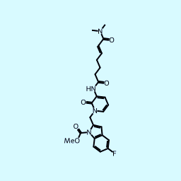 COC(=O)n1c(Cn2cccc(NC(=O)CCC/C=C/C(=O)N(C)C)c2=O)cc2cc(F)ccc21